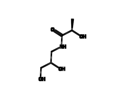 C[C@@H](O)C(=O)NCC(O)CO